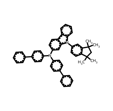 CC1(C)CC(C)(C)c2cc(-n3c4ccccc4c4ccc(N(c5ccc(-c6ccccc6)cc5)c5ccc(-c6ccccc6)cc5)cc43)ccc21